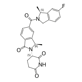 C[C@@H]1c2cc(C(=O)N3Cc4ccc(F)cc4[C@@H]3C)ccc2C(=O)N1[C@H]1CCC(=O)NC1=O